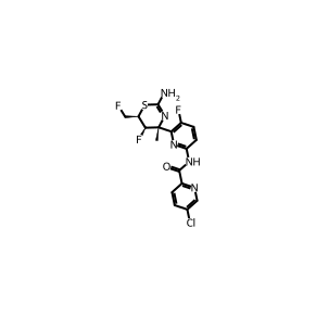 C[C@]1(c2nc(NC(=O)c3ccc(Cl)cn3)ccc2F)N=C(N)S[C@H](CF)[C@@H]1F